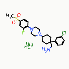 CS(=O)(=O)c1ccc(N2CCN(C3CCC(CN)(c4cccc(Cl)c4)CC3)CC2)c(F)c1.Cl.Cl